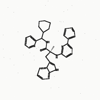 C[C@@](Cc1c[nH]c2ccccc12)(Nc1cccc(-c2ccccc2)n1)C(=O)NC(c1ccccn1)C1CCCCC1